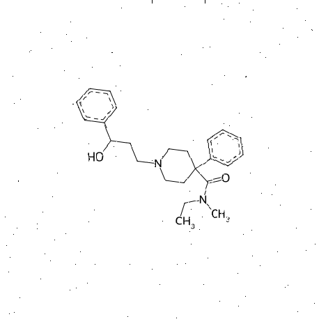 CCN(C)C(=O)C1(c2ccccc2)CCN(CCC(O)c2ccccc2)CC1